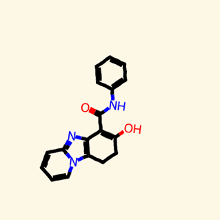 O=C(Nc1ccccc1)C1=C(O)CCc2c1nc1ccccn21